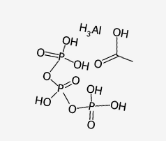 CC(=O)O.O=P(O)(O)OP(=O)(O)OP(=O)(O)O.[AlH3]